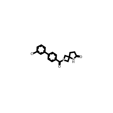 O=C1CCC2(CN(C(=O)c3ccc(-c4cccc(Cl)c4)cc3)C2)N1